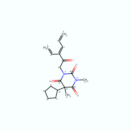 C=C/C=C(\C=C)C(=O)CN1C(=O)N(C)C(=O)C(C)(C2CCCC2)C1=O